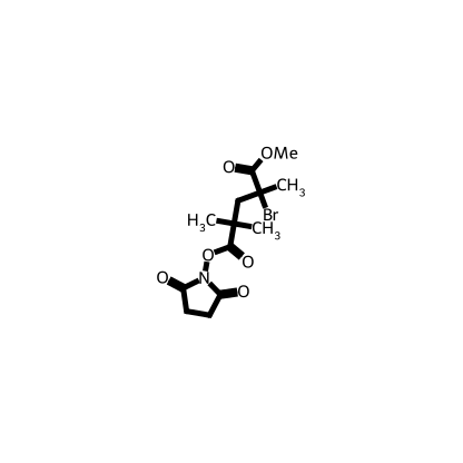 COC(=O)C(C)(Br)CC(C)(C)C(=O)ON1C(=O)CCC1=O